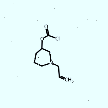 C=CCN1CCCC(OC(=O)Cl)C1